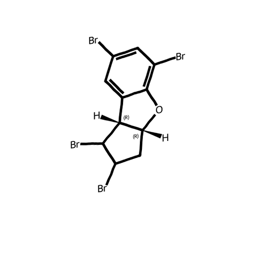 Brc1cc(Br)c2c(c1)[C@H]1C(Br)C(Br)C[C@H]1O2